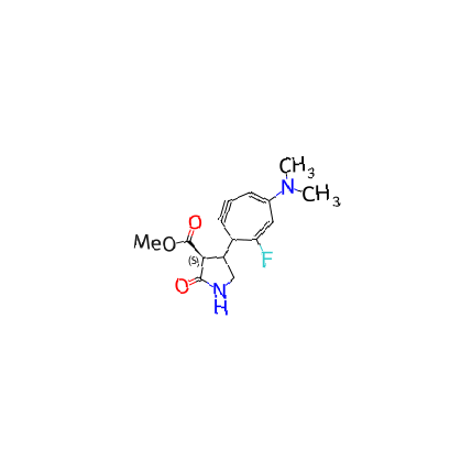 COC(=O)[C@@H]1C(=O)NCC1C1C#CC=C(N(C)C)C=C1F